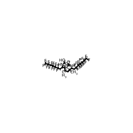 CC(CC(CC(F)(F)C(F)(F)C(F)(F)C(F)(F)C(F)(F)C(F)F)NC(=O)O)CC(C)(C)C(CC(F)(F)C(F)(F)C(F)(F)C(F)(F)C(F)(F)C(F)F)NC(=O)O